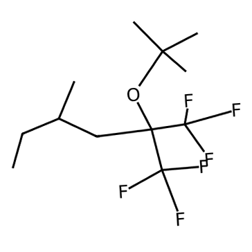 CCC(C)CC(OC(C)(C)C)(C(F)(F)F)C(F)(F)F